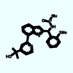 CSc1ccccc1C(N[S+]([O-])C(C)(C)C)c1cc2cccc(-c3cc(C(C)(C)O)ccn3)c2s1